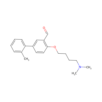 Cc1ccccc1-c1ccc(OCCCCN(C)C)c(C=O)c1